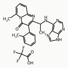 Cc1ccccc1-c1c(C(C)Nc2ncnc3[nH]cnc23)nc2cccc(C)n2c1=O.O=C(O)C(F)(F)F